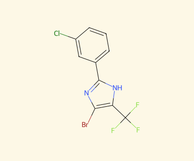 FC(F)(F)c1[nH]c(-c2cccc(Cl)c2)nc1Br